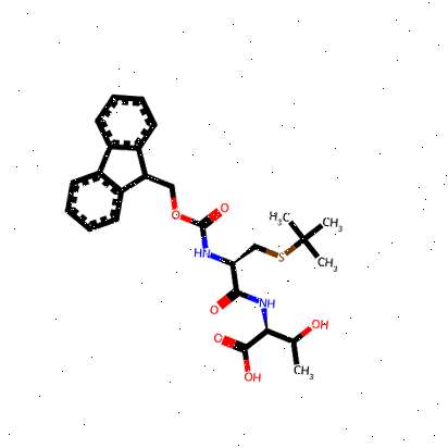 CC(O)[C@H](NC(=O)[C@H](CSC(C)(C)C)NC(=O)OCC1c2ccccc2-c2ccccc21)C(=O)O